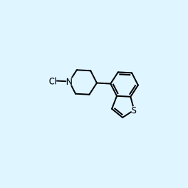 ClN1CCC(c2cccc3sccc23)CC1